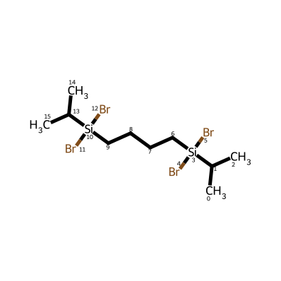 CC(C)[Si](Br)(Br)CCCC[Si](Br)(Br)C(C)C